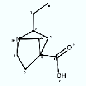 CCC1CC2(C(=O)O)CCN1C2